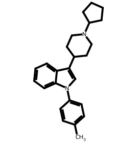 Cc1ccc(-n2cc(C3CCN(C4CCCC4)CC3)c3ccccc32)cc1